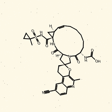 Cc1nc2ccc(C#N)cc2c2c1O[C@]1(CC2)C[C@H]2C(=O)N[C@]3(C(=O)NS(=O)(=O)C4(C)CC4)C[C@H]3/C=C\CCCCC[C@H](NC(=O)O)C(=O)N2C1